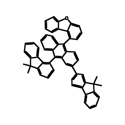 CC1(C)c2ccccc2-c2ccc(-c3ccc4c(-c5cccc6oc7ccccc7c56)c5ccccc5c(-c5cccc6c5-c5ccccc5C6(C)C)c4c3)cc21